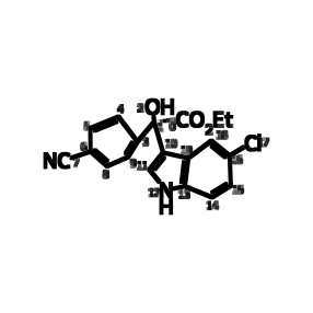 CCOC(=O)[C@@](O)(c1ccc(C#N)cc1)c1c[nH]c2ccc(Cl)cc12